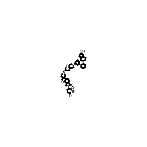 O=C1CC[C@H](N2Cc3c(ccc4c3OCC43CCN(C[C@H]4CCC5(CCN(c6ccc([C@@H]7c8ccc(O)cc8CC[C@@H]7c7ccccc7)cc6)CC5)OC4)CC3)C2=O)C(=O)N1